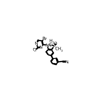 CP(C)(=O)c1cc(-c2cccc(C#N)c2)ccc1Nc1nc(Cl)ncc1Br